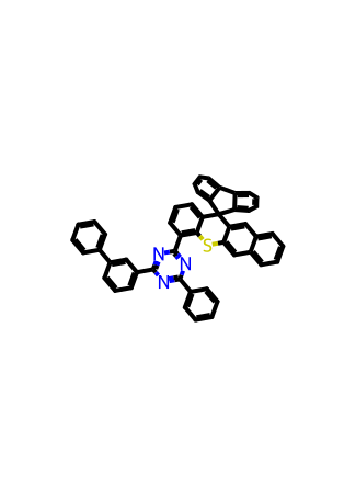 c1ccc(-c2cccc(-c3nc(-c4ccccc4)nc(-c4cccc5c4Sc4cc6ccccc6cc4C54c5ccccc5-c5ccccc54)n3)c2)cc1